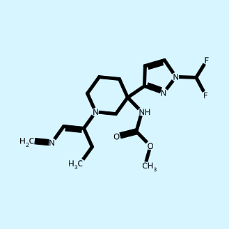 C=N/C=C(\CC)N1CCCC(NC(=O)OC)(c2ccn(C(F)F)n2)C1